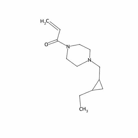 C=CC(=O)N1CCN(CC2CC2CC)CC1